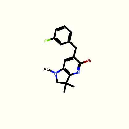 CC(=O)N1CC(C)(C)c2nc(Br)c(Cc3cccc(F)c3)cc21